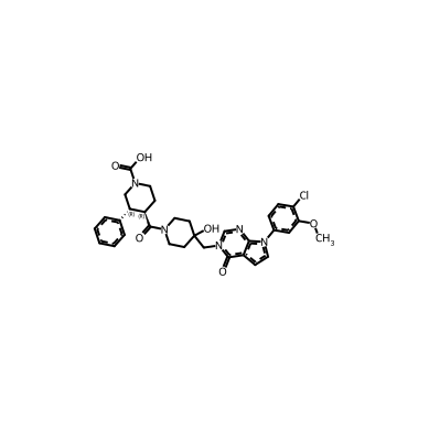 COc1cc(-n2ccc3c(=O)n(CC4(O)CCN(C(=O)[C@@H]5CCN(C(=O)O)C[C@H]5c5ccccc5)CC4)cnc32)ccc1Cl